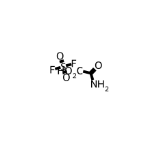 NC(=O)C(=O)O.O=S(=O)(F)F